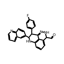 O=CC1NN=C2c3c(cccc31)NC(c1ccc3ncccc3c1)C2c1ccc(F)cc1